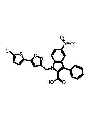 O=C(O)c1c(-c2ccccc2)c2cc([N+](=O)[O-])ccc2n1Cc1cc(-c2ccc(Cl)s2)on1